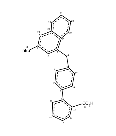 CCCCc1cc(Cc2ccc(-c3ccccc3C(=O)O)cc2)c2ccccc2n1